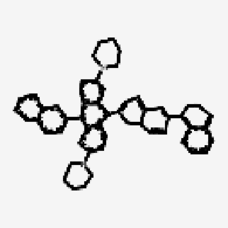 C1=CC2CC(c3c4cc(N5CCCCC5)ccc4c(-c4ccc5ccccc5c4)c4cc(N5CCCCC5)ccc34)=CC=C2C=C1C1=c2ccccc2=CCC1